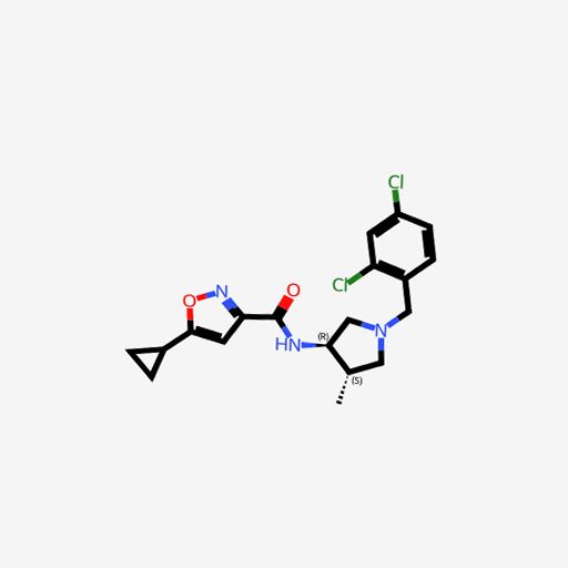 C[C@H]1CN(Cc2ccc(Cl)cc2Cl)C[C@@H]1NC(=O)c1cc(C2CC2)on1